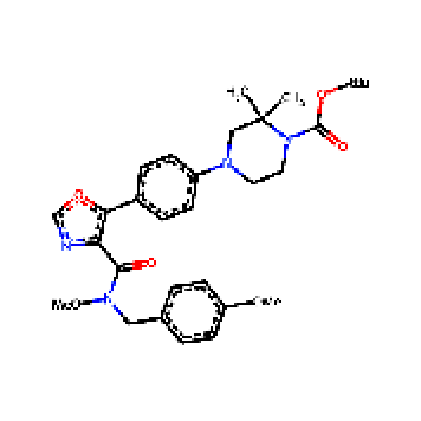 COc1ccc(CN(OC)C(=O)c2ncoc2-c2ccc(N3CCN(C(=O)OC(C)(C)C)C(C)(C)C3)cc2)cc1